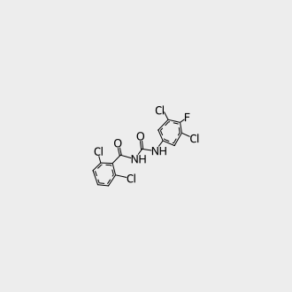 O=C(NC(=O)c1c(Cl)cccc1Cl)Nc1cc(Cl)c(F)c(Cl)c1